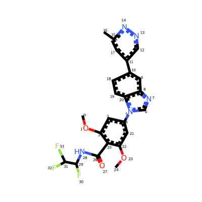 COc1cc(-n2cnc3cc(-c4cnnc(C)c4)ccc32)cc(OC)c1C(=O)NC(F)C(F)F